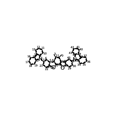 Cc1c(C)c2c3cc(-n4c5ccccc5c5ccccc54)ccc3oc2c2oc3ccc(-n4c5ccccc5c5ccccc54)cc3c12